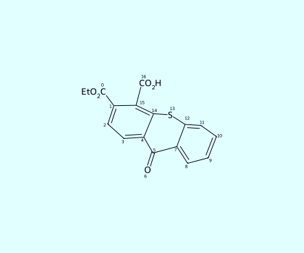 CCOC(=O)c1ccc2c(=O)c3ccccc3sc2c1C(=O)O